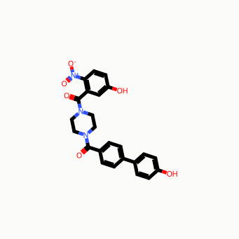 O=C(c1ccc(-c2ccc(O)cc2)cc1)N1CCN(C(=O)c2cc(O)ccc2[N+](=O)[O-])CC1